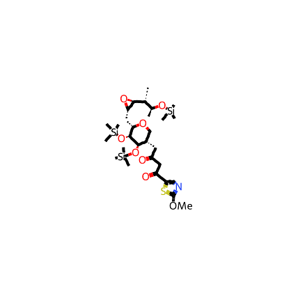 COc1ncc(C(=O)CC(=O)C[C@H]2CO[C@@H](C[C@@H]3O[C@H]3[C@H](C)[C@H](C)O[Si](C)(C)C)[C@@H](O[Si](C)(C)C)[C@@H]2O[Si](C)(C)C)s1